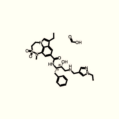 CCc1cn2c3c(cc(C(=O)N[C@@H](Cc4ccccc4)[C@H](O)CNCc4cnn(CC)c4)cc13)N(C)S(=O)(=O)CC2.O=CO